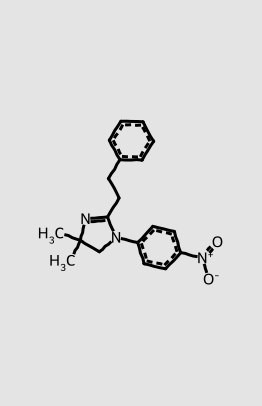 CC1(C)CN(c2ccc([N+](=O)[O-])cc2)C(CCc2ccccc2)=N1